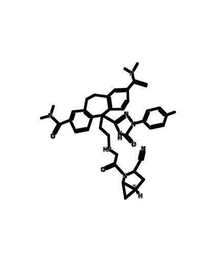 C=C(c1ccc2c(c1)CCc1cc(C(=O)N(C)C)ccc1C2(CCNCC(=O)N1C(C#N)C[C@@H]2CC21)c1nn(-c2ccc(C)cc2)c(=O)[nH]1)N(C)C